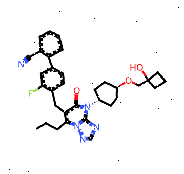 CCCc1c(Cc2ccc(-c3ccccc3C#N)cc2F)c(=O)n([C@H]2CC[C@H](OCC3(O)CCC3)CC2)c2ncnn12